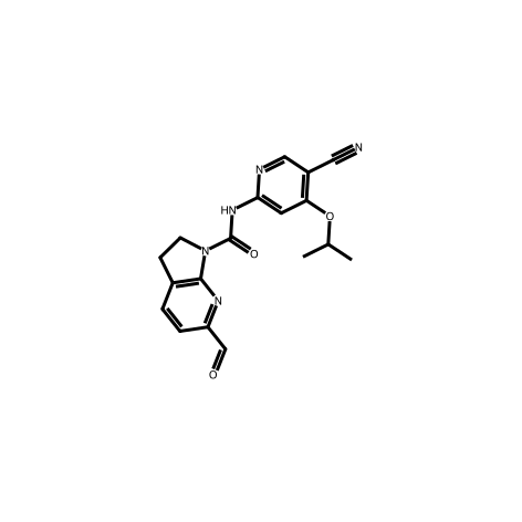 CC(C)Oc1cc(NC(=O)N2CCc3ccc(C=O)nc32)ncc1C#N